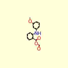 COc1cccc(Nc2ccccc2C(=O)OC=O)c1